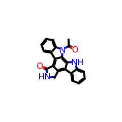 CC(=O)n1c2ccccc2c2c3c(c4c5ccccc5[nH]c4c21)CNC3=O